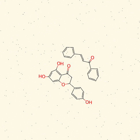 O=C(C=Cc1ccccc1)c1ccccc1.O=C1CC(c2ccc(O)cc2)Oc2cc(O)cc(O)c21